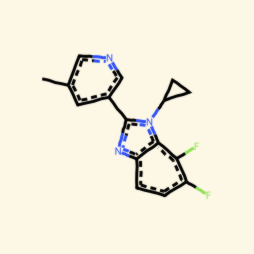 Cc1cncc(-c2nc3ccc(F)c(F)c3n2C2CC2)c1